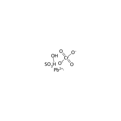 O=S(=O)(O)O.[O]=[Cr](=[O])([O-])[O-].[Pb+2]